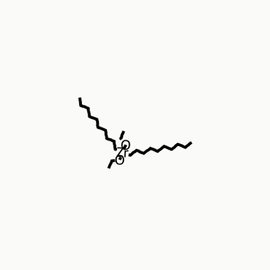 CCCCCCCCC[CH2][Zr]([CH2]CCCCCCCCC)([O]CC)[O]CC